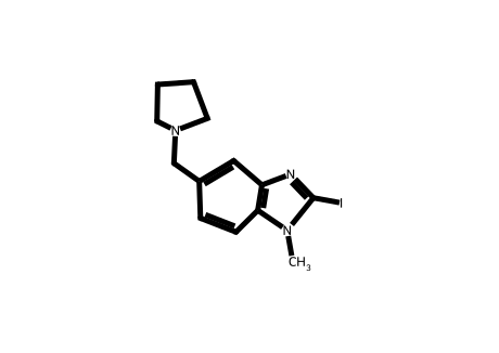 Cn1c(I)nc2cc(CN3CCCC3)ccc21